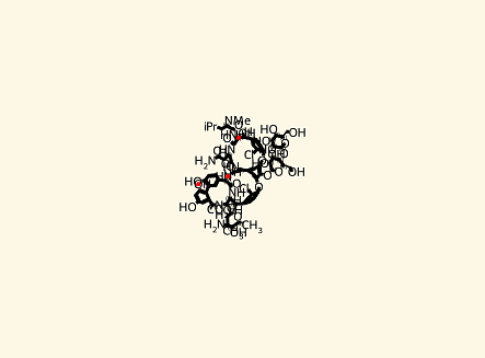 CN[C@H](CC(C)C)C(=O)N[C@H]1C(=O)N[C@@H](CC(N)=O)C(=O)N[C@H]2C(=O)N[C@H]3C(=O)N[C@H](C(=O)N[C@@H](C(=O)O)c4cc(O)cc(O)c4-c4cc3ccc4O)[C@H](OC3C[C@](C)(N)[C@@H](O)[C@H](C)O3)c3ccc(c(Cl)c3)Oc3cc2cc(c3O[C@@H]2O[C@H](CO)[C@@H](O[C@@H]3O[C@H](CO)[C@H](O)[C@H](O)[C@H]3O)[C@H](O)[C@H]2O)Oc2ccc(cc2Cl)[C@H]1O